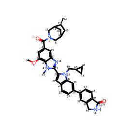 COc1cc(C(=O)N2CC3CC(C2)[C@@H](C)C3)cc2nc(-c3cc4ccc(-c5ccc6c(c5)CNC6=O)cc4n3CC3CC3)n(C)c12